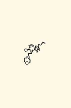 C=CCCn1cc(N(CCN2CCOCC2)C(=O)C(C)(C)C)nn1